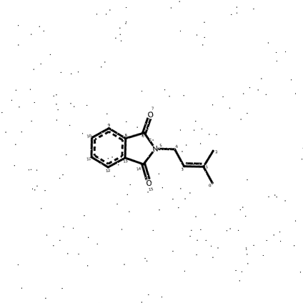 CC(C)=CCN1C(=O)c2ccccc2C1=O